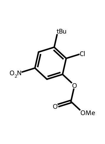 COC(=O)Oc1cc([N+](=O)[O-])cc(C(C)(C)C)c1Cl